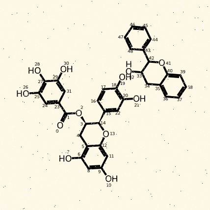 O=C(O[C@@H]1Cc2c(O)cc(O)cc2O[C@@H]1c1ccc(O)c(O)c1)c1cc(O)c(O)c(O)c1.OC1Cc2ccccc2OC1c1ccccc1